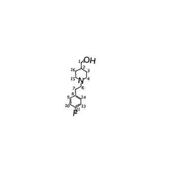 OCC1CCN(CCc2ccc(F)cc2)CC1